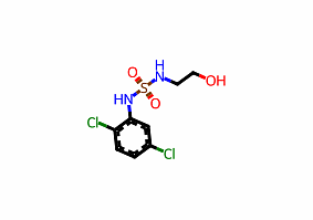 O=S(=O)(NCCO)Nc1cc(Cl)ccc1Cl